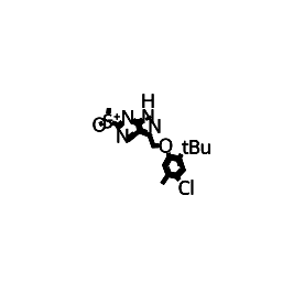 Cc1cc(OCc2n[nH]c3nc([S+](C)[O-])ncc23)c(C(C)(C)C)cc1Cl